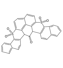 O=C1C2c3ccc4ccccc4c3S(=O)(=O)c3ccc4ccc5c(c4c32)C1c1ccc2ccccc2c1S5(=O)=O